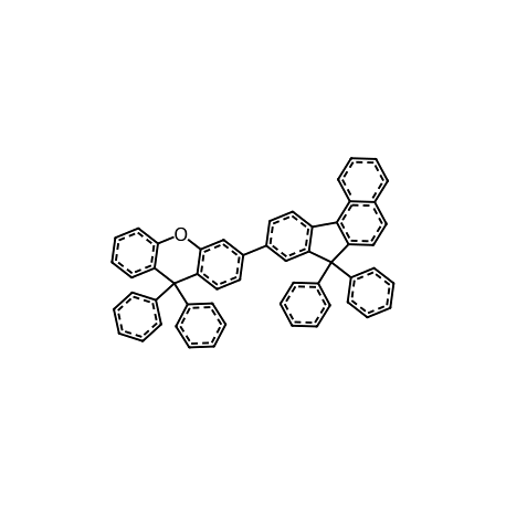 c1ccc(C2(c3ccccc3)c3ccccc3Oc3cc(-c4ccc5c(c4)C(c4ccccc4)(c4ccccc4)c4ccc6ccccc6c4-5)ccc32)cc1